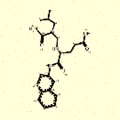 CC(C)C[C@@H](CN[C@@H](CCC(=O)O)C(=O)Nc1cnc2ccccc2c1)C(N)=O